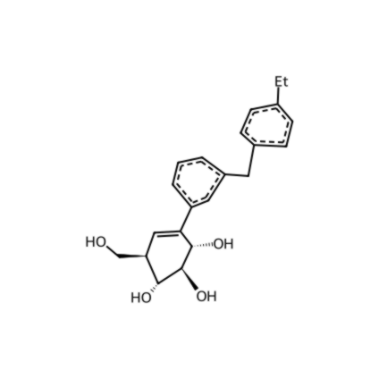 CCc1ccc(Cc2cccc(C3=C[C@H](CO)[C@@H](O)[C@H](O)[C@H]3O)c2)cc1